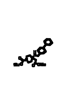 COC(=O)CC1(NCc2ccc(-c3ccccc3)cc2)CCN(C(=O)OC(C)(C)C)CC1